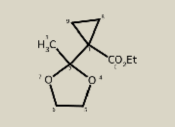 CCOC(=O)C1(C2(C)OCCO2)CC1